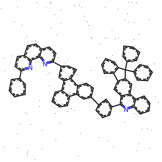 c1ccc(-c2ccc3ccc4ccc(-c5ccc6c7ccc(-c8cccc(-c9nc%10ccccc%10c%10cc%11c(cc9%10)-c9ccccc9C%11(c9ccccc9)c9ccccc9)c8)cc7c7ccccc7c6c5)nc4c3n2)cc1